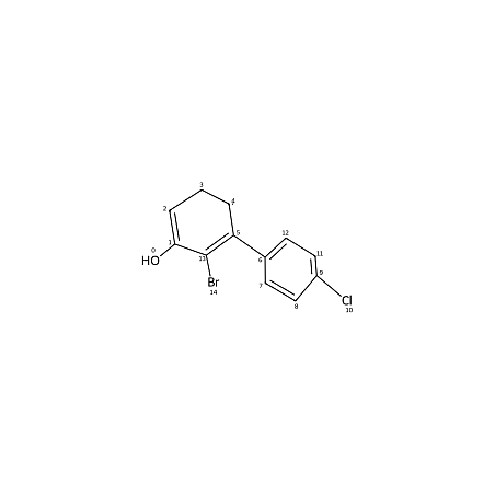 OC1=CC[CH]C(c2ccc(Cl)cc2)=C1Br